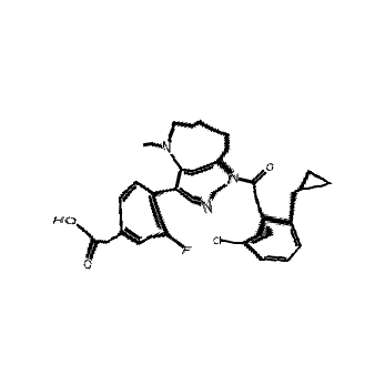 CN1CCCc2c1c(-c1ccc(C(=O)O)cc1F)nn2C(=O)c1c(Cl)cccc1C1CC1